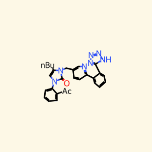 CCCCc1cn(-c2ccccc2C(C)=O)c(=O)n1Cc1ccc(-c2ccccc2-c2nnn[nH]2)nc1